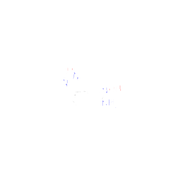 Cc1nc(-c2cccc(/C(N)=N/O)c2)no1